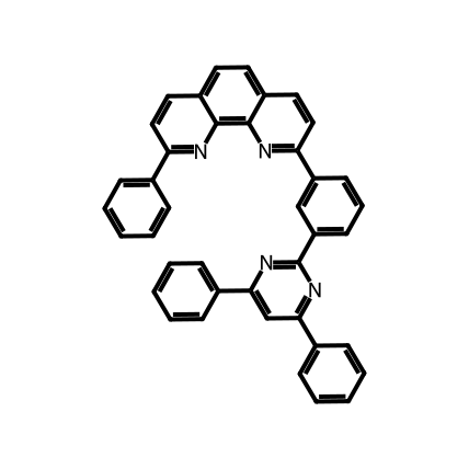 c1ccc(-c2cc(-c3ccccc3)nc(-c3cccc(-c4ccc5ccc6ccc(-c7ccccc7)nc6c5n4)c3)n2)cc1